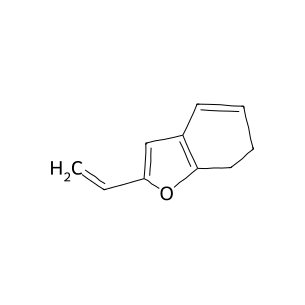 C=Cc1cc2c(o1)CCC=C2